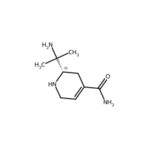 CC(C)(N)[C@@H]1CC(C(N)=O)=CCN1